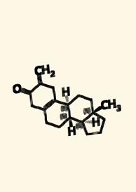 C=C1CC2=C(CC[C@@H]3[C@@H]2CC[C@]2(C)CCC[C@@H]32)CC1=O